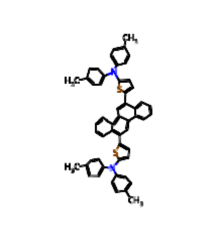 Cc1ccc(N(c2ccc(C)cc2)c2ccc(-c3cc4c5ccccc5c(-c5ccc(N(c6ccc(C)cc6)c6ccc(C)cc6)s5)cc4c4ccccc34)s2)cc1